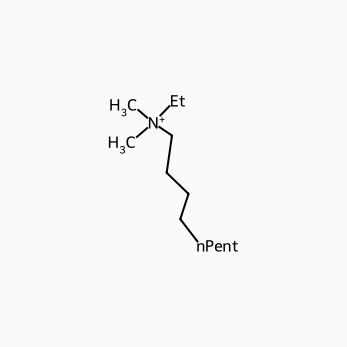 CCCCCCCCC[N+](C)(C)CC